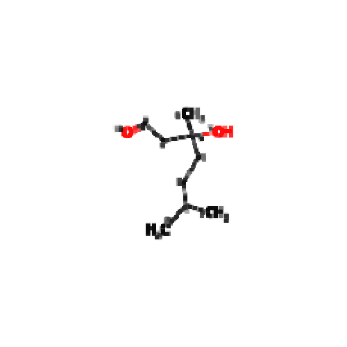 CC(C)CCC(C)(O)CC=O